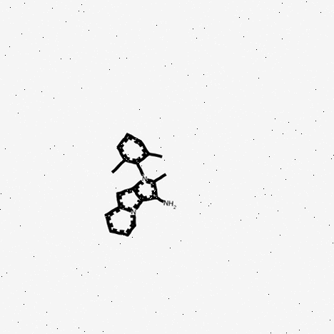 Cc1cccc(C)c1-n1c(C)c(N)c2c1cc1ccccn12